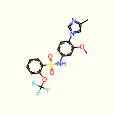 COc1cc(NS(=O)(=O)c2ccccc2OC(F)(F)F)ccc1-n1cnc(C)c1